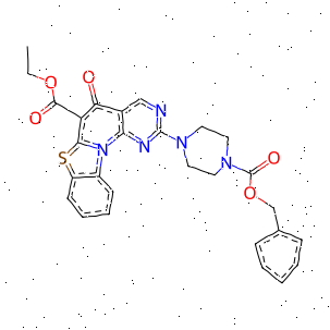 CCOC(=O)c1c(=O)c2cnc(N3CCN(C(=O)OCc4ccccc4)CC3)nc2n2c1sc1ccccc12